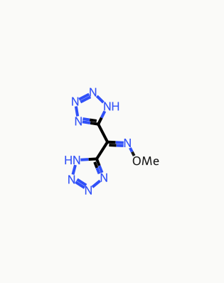 CON=C(c1nnn[nH]1)c1nnn[nH]1